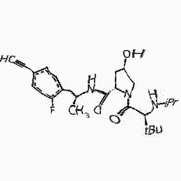 C#Cc1ccc([C@H](C)NC(=O)[C@@H]2C[C@@H](O)CN2C(=O)[C@@H](NC(C)C)C(C)(C)C)c(F)c1